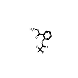 COC(=O)c1[c]cccc1OC(=O)C(F)(F)F